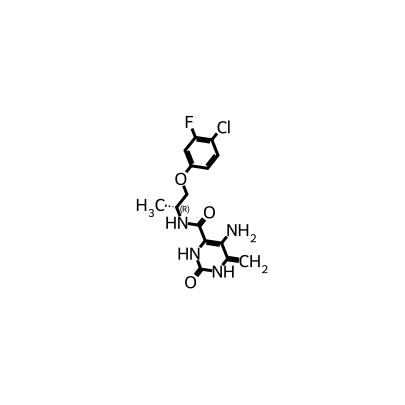 C=C1NC(=O)NC(C(=O)N[C@H](C)COc2ccc(Cl)c(F)c2)=C1N